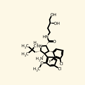 COc1cc(Cl)ccc1[C@@]1(N)[C@H](CC(C)(C)C)N[C@H](C(=O)NCC[C@H](O)CO)[C@@H]1c1cccc(Cl)c1F